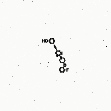 Oc1cccc(C#Cc2cnc(N3CCC(Oc4ccccc4F)CC3)nc2)c1